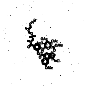 COC(=O)[C@H]1O[C@@H](Oc2ccc(C(=O)N(C)CC(C)(C)OCC(C)CN=[N+]=[N-])cc2OS(=O)(=O)c2cc3c(c4cc(OC)ccc24)[C@H](CCl)CN3)[C@H](OC(C)=O)[C@@H](OC(C)=O)[C@@H]1OC(C)=O